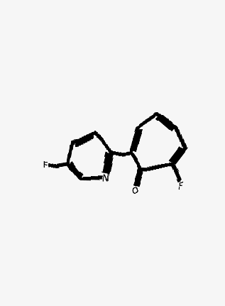 O=c1c(F)ccccc1-c1ccc(F)cn1